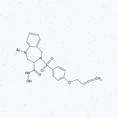 C=C=CCOc1ccc(S(=O)(=O)N2Cc3ccccc3N(C(C)=O)CC2C(=O)NO)cc1